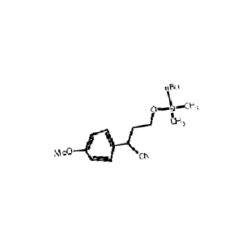 CCCC[Si](C)(C)OCCC(C#N)c1ccc(OC)cc1